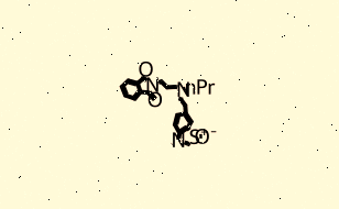 CCCN(CCCN1C(=O)c2ccccc2C1=O)CCc1ccc2c(c1)[S+]([O-])CN2C